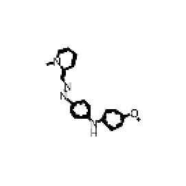 COc1ccc(Nc2ccc(N=N/C=C3\C=CC=CN3C)cc2)cc1